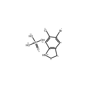 Clc1cc2c(cc1Br)CCN2.O=P(O)(O)O